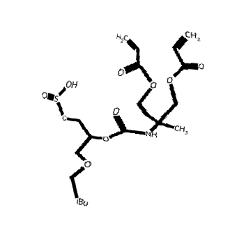 C=CC(=O)OCC(C)(COC(=O)C=C)NC(=O)OC(COCC(C)CC)COS(=O)O